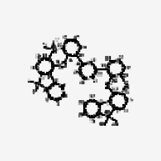 CC1(C)c2ccccc2-c2c1ccc1c2Oc2c(-c3cccc(-c4cccc5c4Sc4c(ccc6c4-c4ccccc4C6(C)C)S5)c3)cccc2[Si]1(C)C